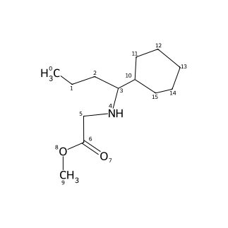 CCCC(NCC(=O)OC)C1CCCCC1